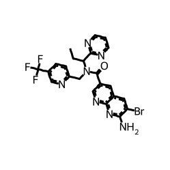 CCC(c1ncccn1)N(Cc1ccc(C(F)(F)F)cn1)C(=O)c1cnc2nc(N)c(Br)cc2c1